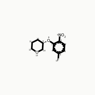 O=[N+]([O-])c1ccc(F)cc1O[C@H]1CCCOC1